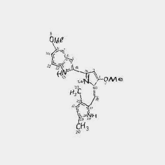 COC1=CC(c2cc3cc(OC)ccc3[nH]2)=NC1=Cc1[nH]c(C)cc1C